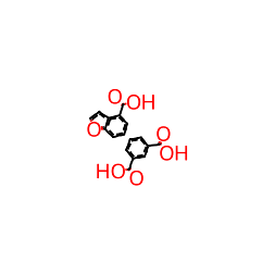 O=C(O)c1cccc(C(=O)O)c1.O=C(O)c1cccc2occc12